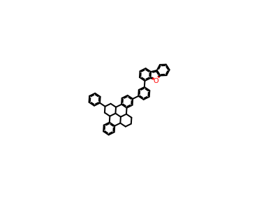 c1ccc(C2CC3c4ccccc4C4CCCC5c6cc(-c7cccc(-c8cccc9c8oc8ccccc89)c7)ccc6C(C2)C3C45)cc1